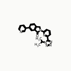 CC(C)n1nnnc1-c1cccc(N2Cc3ccc(-c4cccnc4)cc3C2=O)n1